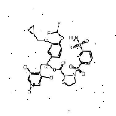 NS(=O)(=O)c1cccc(S(=O)(=O)N2CCSC2C(=O)O[C@@H](Cc2c(Cl)c[n+]([O-])cc2Cl)c2ccc(OC(F)F)c(OCC3CC3)c2)c1